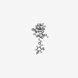 NC(=O)C1N(C(=O)[CH]COCc2ccc(F)cc2F)CCN2C(=O)N(CC(F)(F)F)C(=O)C12Cc1ccccn1